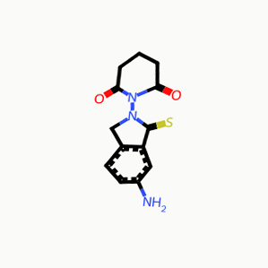 Nc1ccc2c(c1)C(=S)N(N1C(=O)CCCC1=O)C2